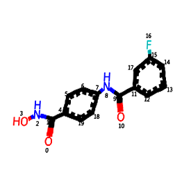 O=C(NO)c1ccc(NC(=O)c2cccc(F)c2)cc1